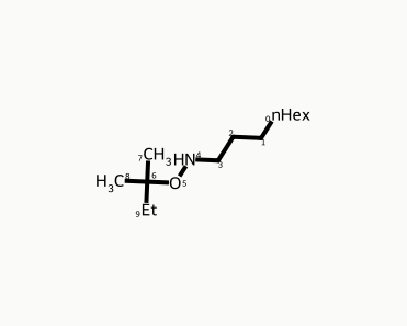 CCCCCCCCCNOC(C)(C)CC